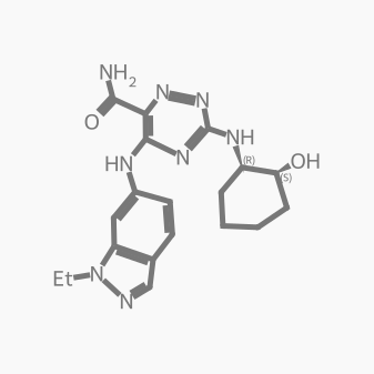 CCn1ncc2ccc(Nc3nc(N[C@@H]4CCCC[C@@H]4O)nnc3C(N)=O)cc21